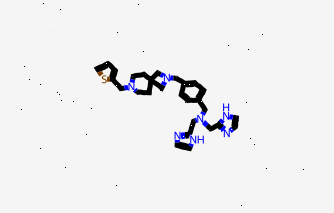 c1csc(CN2CCC3(CC2)CN(Cc2ccc(CN(Cc4ncc[nH]4)Cc4ncc[nH]4)cc2)C3)c1